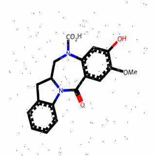 COc1cc2c(cc1O)N(C(=O)O)CC1Cc3ccccc3N1C2=O